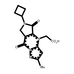 CC(C)(C)c1cc2n(CC(=O)O)c3c(c(=O)n2n1)CN(C1CCC1)C3=O